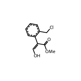 COC(=O)C(=CO)c1ccccc1CCl